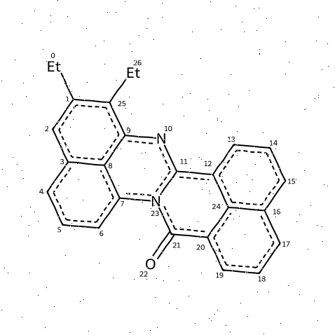 CCc1cc2cccc3c2c(nc2c4cccc5cccc(c(=O)n32)c54)c1CC